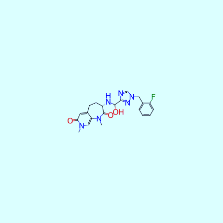 CN1C(=O)[C@@H](NC(O)c2ncn(Cc3ccccc3F)n2)CCc2cc(=O)n(C)cc21